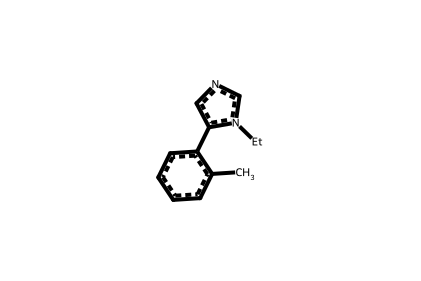 CCn1cncc1-c1ccccc1C